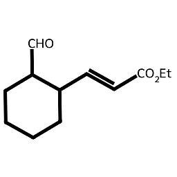 CCOC(=O)C=CC1CCCCC1C=O